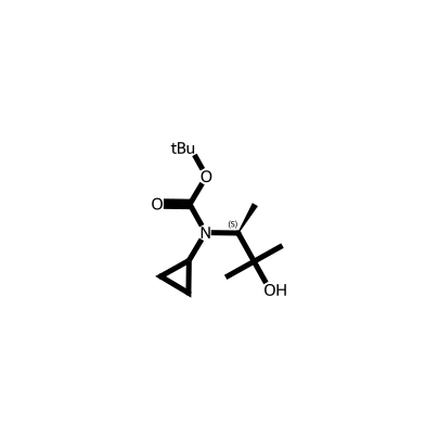 C[C@H](N(C(=O)OC(C)(C)C)C1CC1)C(C)(C)O